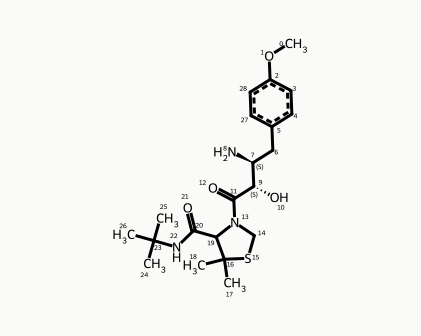 COc1ccc(C[C@H](N)[C@H](O)C(=O)N2CSC(C)(C)C2C(=O)NC(C)(C)C)cc1